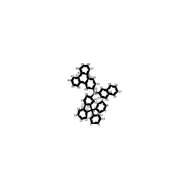 c1ccc(C2(c3ccccc3)c3ccccc3-c3ccc(N(c4ccc5ccccc5c4)c4ccc5c6ccccc6c6ccccc6c5c4)cc32)cc1